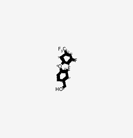 OCc1ccc(Oc2cc(F)cc(C(F)(F)F)c2)c(F)c1